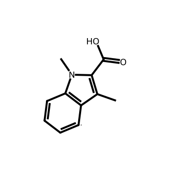 Cc1c(C(=O)O)n(C)c2ccc[c]c12